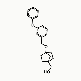 OCC12CCC(OCc3cccc(Oc4ccccc4)c3)(CC1)C2